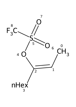 CC=C(CCCCCC)OS(=O)(=O)C(F)(F)F